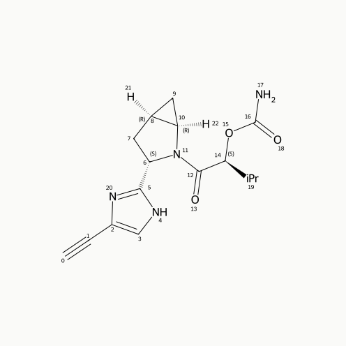 C#Cc1c[nH]c([C@@H]2C[C@H]3C[C@H]3N2C(=O)[C@@H](OC(N)=O)C(C)C)n1